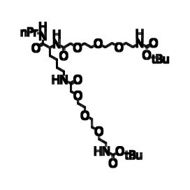 CCCNC(=O)C(CCCCNC(=O)COCCOCCOCCNC(=O)OC(C)(C)C)NC(=O)COCCOCCOCCNC(=O)OC(C)(C)C